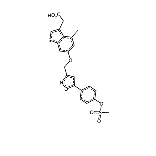 Cc1cc(OCc2cc(-c3ccc(OS(C)(=O)=O)cc3)on2)cc2scc(CC(=O)O)c12